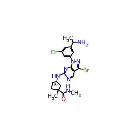 CNC(=O)[C@]1(C)CC[C@@H](Nc2ncc3c(Br)nn(-c4cc(Cl)cc(C(C)N)c4)c3n2)C1